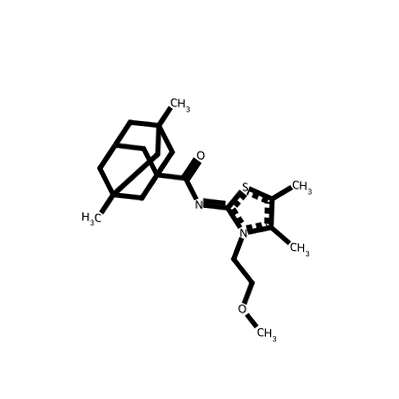 COCCn1c(C)c(C)s/c1=N\C(=O)C12CC3CC(C)(CC(C)(C3)C1)C2